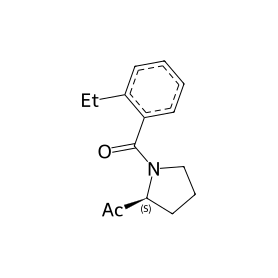 CCc1ccccc1C(=O)N1CCC[C@H]1C(C)=O